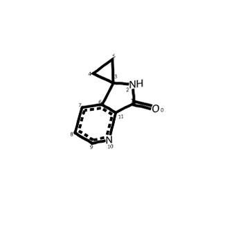 O=C1NC2(CC2)c2cccnc21